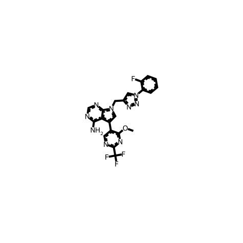 COc1nc(C(F)(F)F)ncc1-c1cn(Cc2cn(-c3ccccc3F)nn2)c2ncnc(N)c12